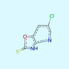 S=c1[nH]c2ncc(Cl)cc2o1